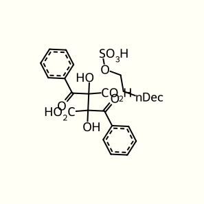 CCCCCCCCCCCCOS(=O)(=O)O.O=C(O)C(O)(C(=O)c1ccccc1)C(O)(C(=O)O)C(=O)c1ccccc1